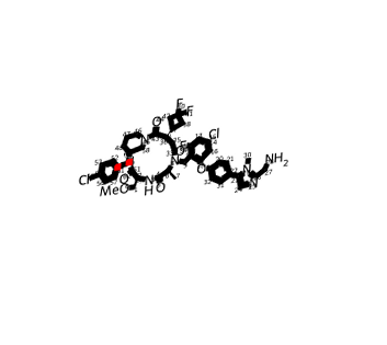 COC[C@@H]1NC(=O)[C@H](C)N(Cc2c(F)cc(Cl)cc2Oc2ccc(-c3cnc(CN)n3C)cc2)C(=O)C[C@@H](C2CC(F)(F)C2)C(=O)N2CCC[C@@](Cc3ccc(Cl)cc3)(C2)N(C)C1=O